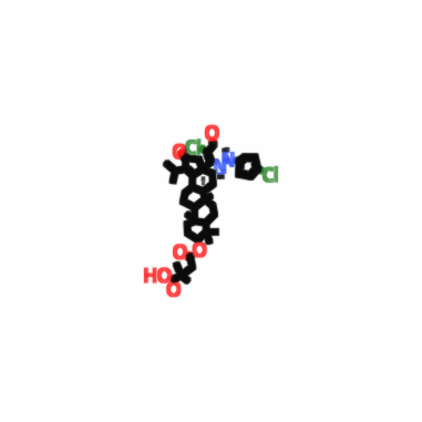 CC(C)C1=C2C3CCC4C5(C)CCC(OC(=O)CC(C)(C)C(=O)O)C(C)(C)C5CCC4(C)[C@]3(C)CCC2(/C(=C(\Cl)C=O)N(C)N(C)c2ccc(Cl)cc2)CC1=O